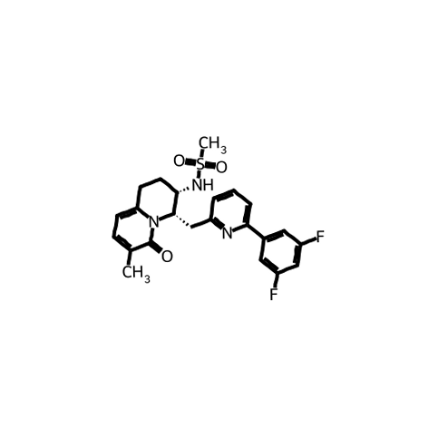 Cc1ccc2n(c1=O)[C@@H](Cc1cccc(-c3cc(F)cc(F)c3)n1)[C@@H](NS(C)(=O)=O)CC2